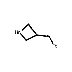 [CH2]CCC1CNC1